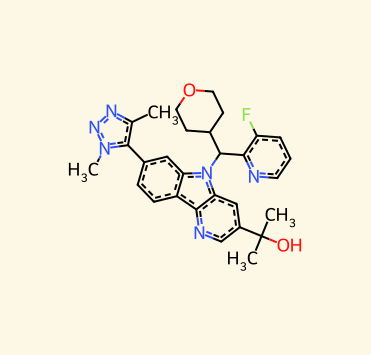 Cc1nnn(C)c1-c1ccc2c3ncc(C(C)(C)O)cc3n(C(c3ncccc3F)C3CCOCC3)c2c1